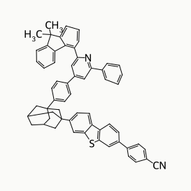 CC1(C)c2ccccc2-c2c(-c3cc(-c4ccc(C56CC7CC(C5)CC(c5ccc8c(c5)sc5cc(-c9ccc(C#N)cc9)ccc58)(C7)C6)cc4)cc(-c4ccccc4)n3)cccc21